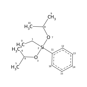 CC[Si](OC(C)C)(OC(C)C)c1ccccc1